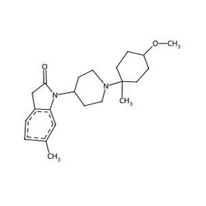 COC1CCC(C)(N2CCC(N3C(=O)Cc4ccc(C)cc43)CC2)CC1